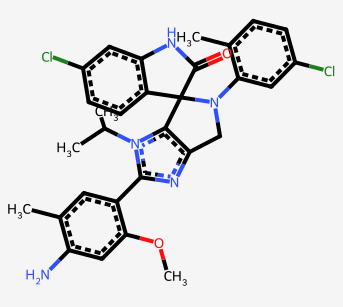 COc1cc(N)c(C)cc1-c1nc2c(n1C(C)C)C1(C(=O)Nc3cc(Cl)ccc31)N(c1cc(Cl)ccc1C)C2